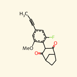 CC#Cc1cc(F)c(C2C(=O)C3CCC(C3)C2=O)c(OC)c1